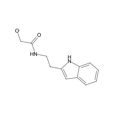 [O]CC(=O)NCCc1cc2ccccc2[nH]1